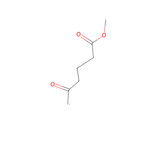 [CH2]C(=O)CCCC(=O)OC